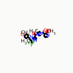 COc1ccc(-c2nc3c(C(=O)N4CCN([C@H](CO)c5cccnc5OC)C[C@H]4C)cnn3c(C(F)(F)F)c2C)cc1